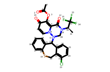 CC(=O)Oc1c2n(ccc1=O)N(C1c3ccccc3SCc3c(Cl)cccc31)CN([C@H](C)C(F)(F)F)C2=O